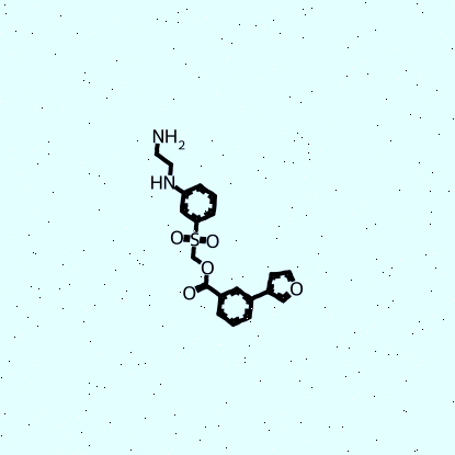 NCCNc1cccc(S(=O)(=O)COC(=O)c2cccc(-c3ccoc3)c2)c1